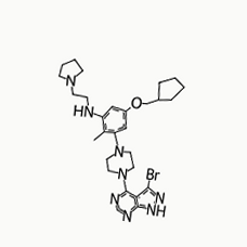 Cc1c(NCCN2CCCC2)cc(OCC2CCCC2)cc1N1CCN(c2ncnc3[nH]nc(Br)c23)CC1